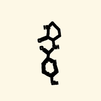 CC(C)(C)c1ccc(C(=O)NC2CCCNC2=O)nc1